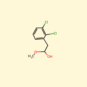 COC(O)Cc1cccc(Cl)c1Cl